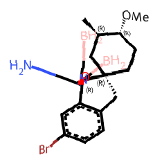 BC1(B)OC(N)=N[C@]12c1cc(Br)ccc1C[C@]21CC[C@@H](OC)[C@H](C)C1